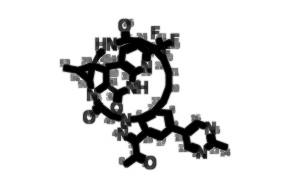 CC(=O)c1nn2c3c(cc(-c4cnc(C)nc4)cc13)CCCCCCC(=O)NC[C@@]13C[C@@H](C(=O)Nc4nc(C(F)(F)F)ccc4C)N(C(=O)C2)C1C3C